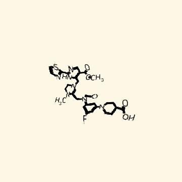 COC(=O)C1=C(CN2CCN(C)C(CN(C=O)c3cc(F)cc(N4CCC(C(=O)O)CC4)c3)C2)NC(c2nccs2)=NC1